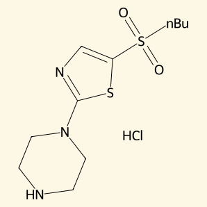 CCCCS(=O)(=O)c1cnc(N2CCNCC2)s1.Cl